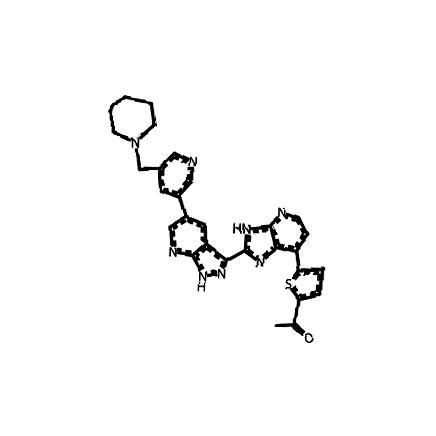 CC(=O)c1ccc(-c2ccnc3[nH]c(-c4n[nH]c5ncc(-c6cncc(CN7CCCCC7)c6)cc45)nc23)s1